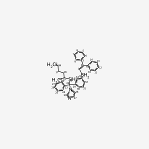 BC=C(c1ccccc1)c1ccccc1.C=CCCC(C)[SiH2]C(c1ccccc1)(c1ccccc1)n1ccnc1